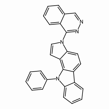 c1ccc(-n2c3ccccc3c3ccc4c(ccn4-c4nncc5ccccc45)c32)cc1